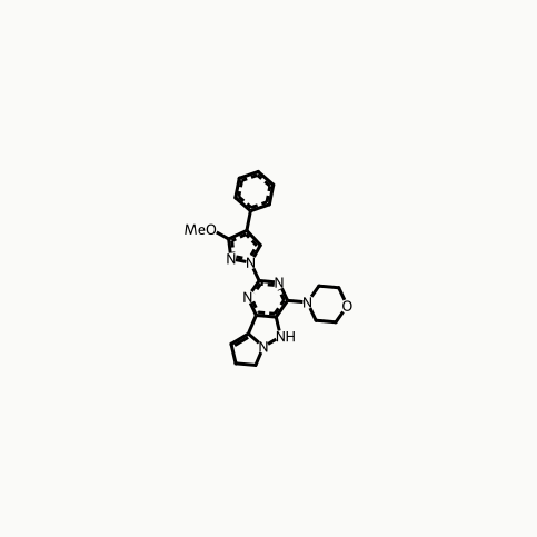 COc1nn(-c2nc3c(c(N4CCOCC4)n2)NN2CCC=C32)cc1-c1ccccc1